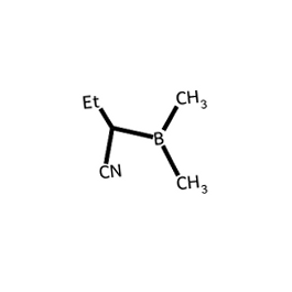 CCC(C#N)B(C)C